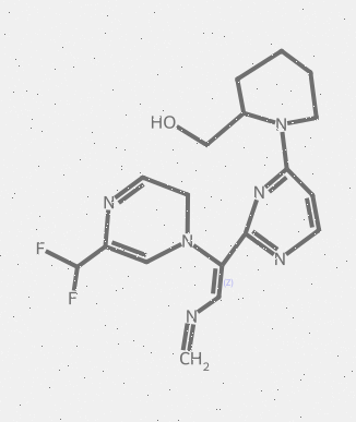 C=N/C=C(/c1nccc(N2CCCCC2CO)n1)N1C=C(C(F)F)N=CC1